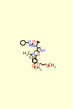 COCCCOc1cc(C(=O)N(C[C@@H]2CNC[C@H]2C(NC(=O)NCC2CCCCC2)C2CC2)C(C)C)ccc1OC